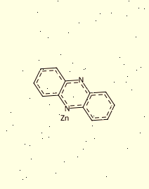 [Zn].c1ccc2nc3ccccc3nc2c1